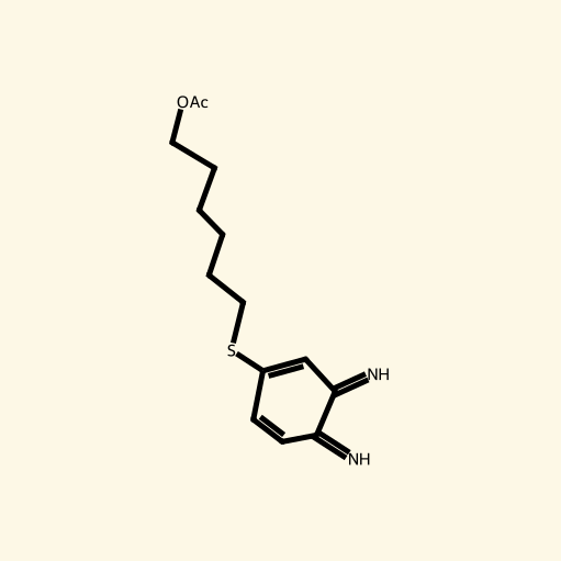 CC(=O)OCCCCCCSC1=CC(=N)C(=N)C=C1